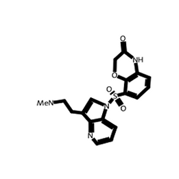 CNCCc1cn(S(=O)(=O)c2cccc3c2OCC(=O)N3)c2cccnc12